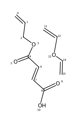 C=CCOC(=O)C=CC(=O)O.C=COC=C